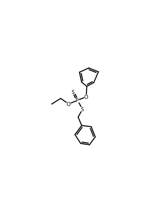 CCOP(=S)(Oc1ccccc1)SCc1ccccc1